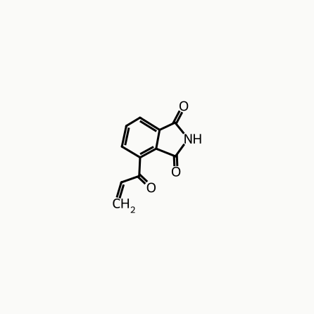 C=CC(=O)c1cccc2c1C(=O)NC2=O